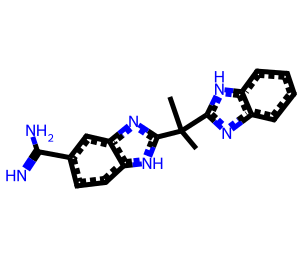 CC(C)(c1nc2ccccc2[nH]1)c1nc2cc(C(=N)N)ccc2[nH]1